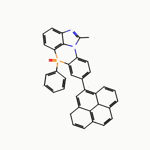 Cc1nc2cccc3c2n1-c1ccc(C2=C4C=CC=C5C=CC6=C(C(=C2)CC=C6)C54)cc1P3(=O)c1ccccc1